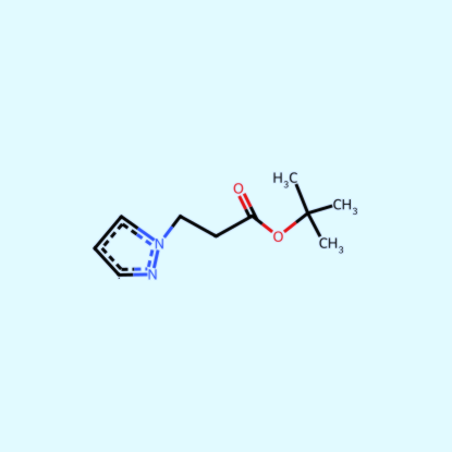 CC(C)(C)OC(=O)CCn1cc[c]n1